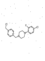 Fc1cc(Cl)ccc1N1CCN(Cc2ccc(CCl)cc2)CC1